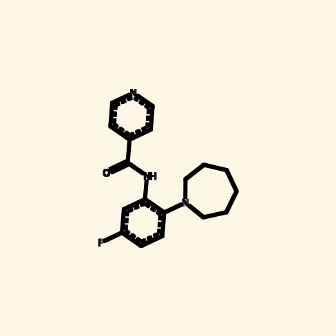 O=C(Nc1cc(F)ccc1N1CCCCCC1)c1ccncc1